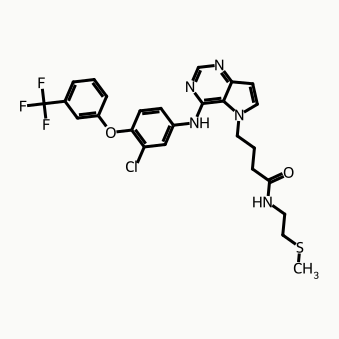 CSCCNC(=O)CCCn1ccc2ncnc(Nc3ccc(Oc4cccc(C(F)(F)F)c4)c(Cl)c3)c21